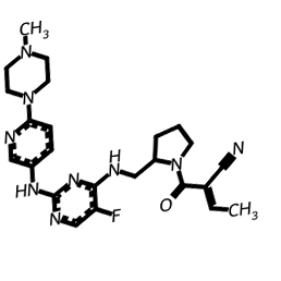 CC=C(C#N)C(=O)N1CCCC1CNc1nc(Nc2ccc(N3CCN(C)CC3)nc2)ncc1F